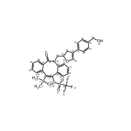 C[Si](C)(C)/C1=C(\OS(=O)(=O)C(F)(F)F)c2ccccc2N(CC2CC(c3ccc(CO)cc3)=NO2)C(=O)c2ccccc21